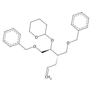 C=CC[C@@H](COCc1ccccc1)[C@@H](COCc1ccccc1)OC1CCCCO1